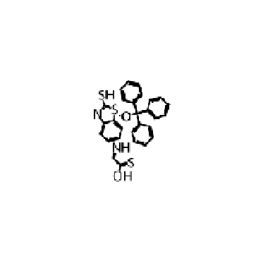 N=CC(O)=S.Sc1nc2ccccc2s1.[O]C(c1ccccc1)(c1ccccc1)c1ccccc1